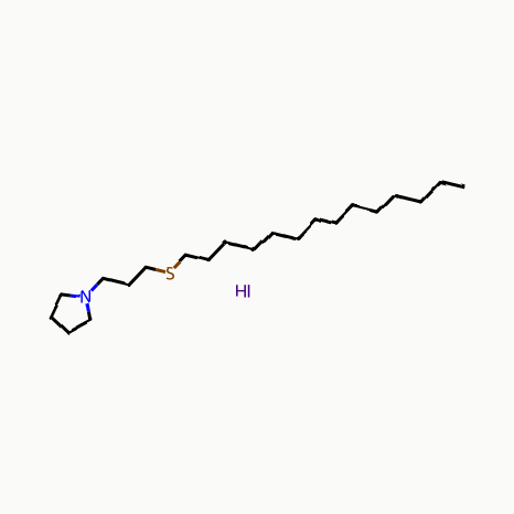 CCCCCCCCCCCCCCSCCCN1CCCC1.I